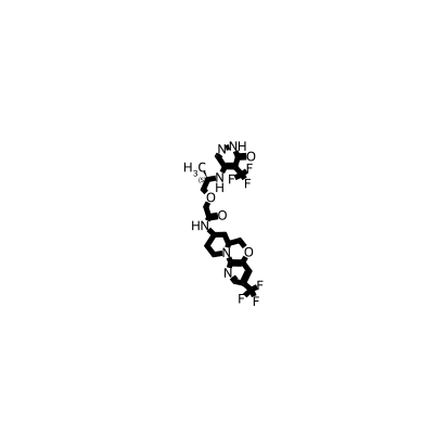 C[C@@H](COCC(=O)NC1CCN2c3ncc(C(F)(F)F)cc3OCC2C1)Nc1cn[nH]c(=O)c1C(F)(F)F